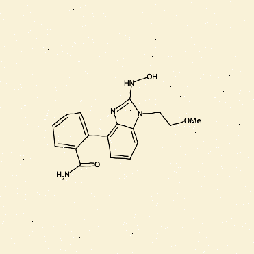 COCCn1c(NO)nc2c(-c3ccccc3C(N)=O)cccc21